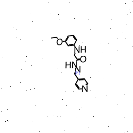 CCOc1cccc(NCC(=O)N/N=C/c2ccncc2)c1